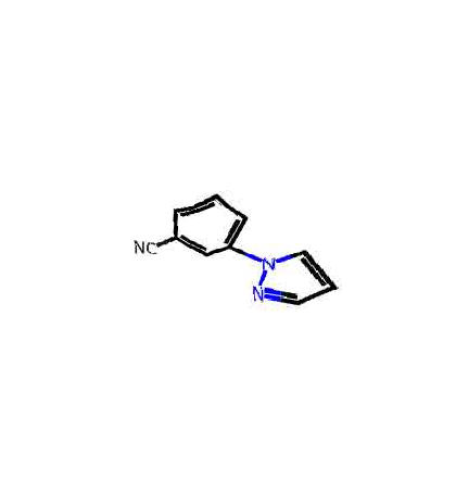 N#Cc1cccc(-n2cccn2)c1